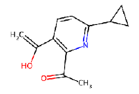 C=C(O)c1ccc(C2CC2)nc1C(C)=O